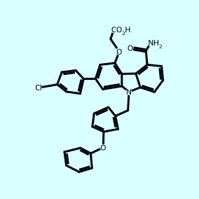 NC(=O)c1cccc2c1c1c(OCC(=O)O)cc(-c3ccc(Cl)cc3)cc1n2Cc1cccc(Oc2ccccc2)c1